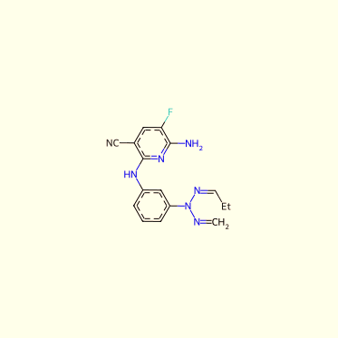 C=NN(/N=C\CC)c1cccc(Nc2nc(N)c(F)cc2C#N)c1